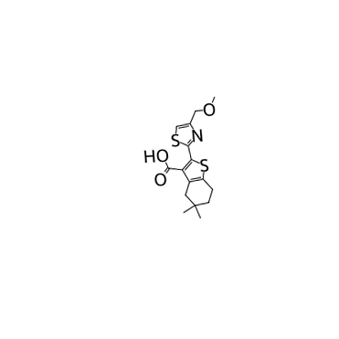 COCc1csc(-c2sc3c(c2C(=O)O)CC(C)(C)CC3)n1